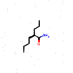 CCCC=C(CCC)C(N)=O